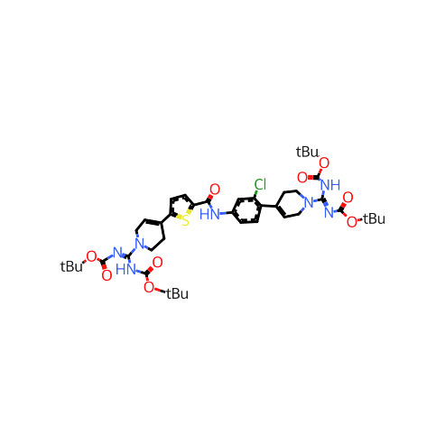 CC(C)(C)OC(=O)/N=C(\NC(=O)OC(C)(C)C)N1CC=C(c2ccc(C(=O)Nc3ccc(C4=CCN(/C(=N/C(=O)OC(C)(C)C)NC(=O)OC(C)(C)C)CC4)c(Cl)c3)s2)CC1